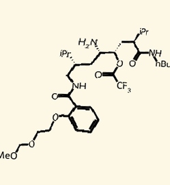 CCCCNC(=O)[C@@H](C[C@H](OC(=O)C(F)(F)F)[C@@H](N)C[C@H](CNC(=O)c1ccccc1OCCOCOC)C(C)C)C(C)C